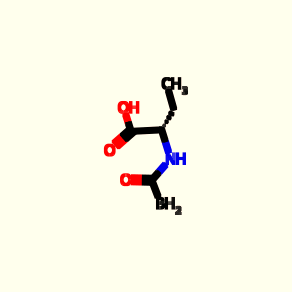 BC(=O)N[C@@H](CC)C(=O)O